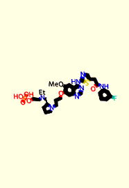 CCN(CCOP(=O)(O)O)C[C@@H]1CCCN1CCCOc1cc2ncnc(Nc3ncc(CC(=O)Nc4cccc(F)c4)s3)c2cc1OC